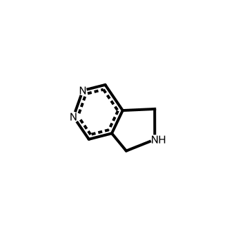 c1nncc2c1CNC2